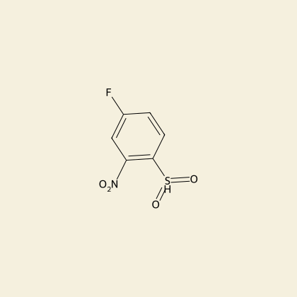 O=[N+]([O-])c1cc(F)ccc1[SH](=O)=O